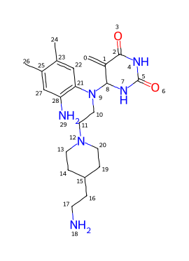 C=C1C(=O)NC(=O)NC1N(CCN1CCC(CCN)CC1)c1cc(C)c(C)cc1N